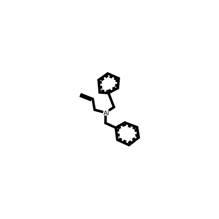 C=C[CH2][Al]([CH2]c1ccccc1)[CH2]c1ccccc1